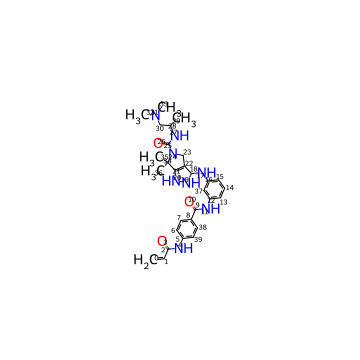 C=CC(=O)Nc1ccc(C(=O)Nc2cccc(NC3NNC4=C3CN(C(=O)NC(C)CN(C)C)C4(C)C)c2)cc1